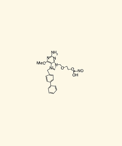 COc1nc(N)nc2c1[n+](Cc1ccc(-c3ccccc3)cc1)cn2COCCOP(O)N=O